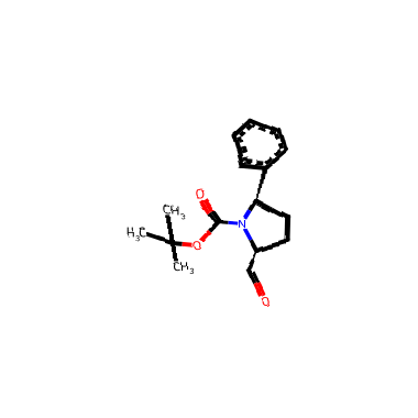 CC(C)(C)OC(=O)N1[C@H](C=O)CC[C@@H]1c1ccccc1